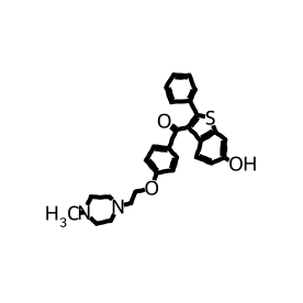 CN1CCN(CCOc2ccc(C(=O)c3c(-c4ccccc4)sc4cc(O)ccc34)cc2)CC1